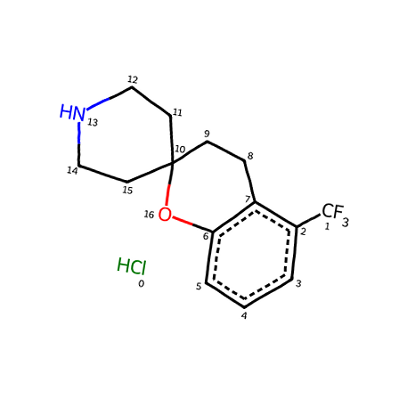 Cl.FC(F)(F)c1cccc2c1CCC1(CCNCC1)O2